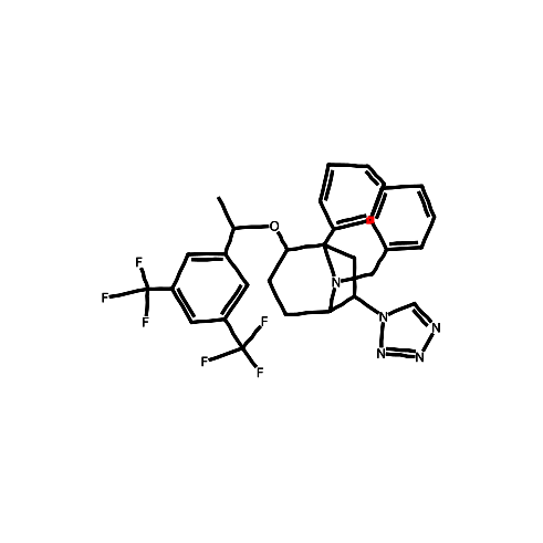 CC(OC1CCC2C(n3cnnn3)CC1(c1ccccc1)N2Cc1ccccc1)c1cc(C(F)(F)F)cc(C(F)(F)F)c1